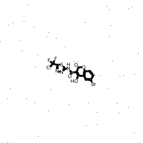 O=C(Nc1nnc(C(F)(F)Cl)s1)c1c(O)c2cc(Br)ccc2oc1=O